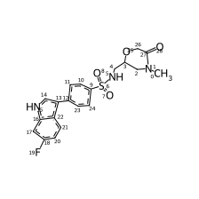 CN1CC(CNS(=O)(=O)c2ccc(-c3c[nH]c4cc(F)ccc34)cc2)OCC1=O